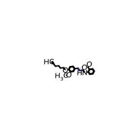 C#CCCCCOc1ccc(/C=C/C(=O)Nc2ccccc2C=O)cc1OC